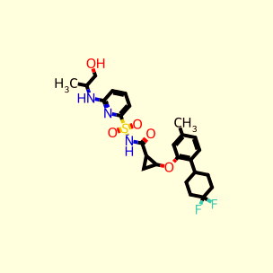 Cc1ccc(C2CCC(F)(F)CC2)c(OC2CC2C(=O)NS(=O)(=O)c2cccc(NC(C)CO)n2)c1